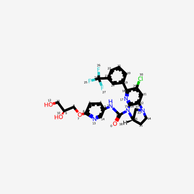 O=C(Nc1ccc(OC[C@@H](O)CO)nc1)N1c2nc(-c3cccc(C(F)(F)F)c3)c(Cl)cc2N2CC[C@H]1C2